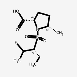 CC[C@H](C(C)F)S(=O)(=O)N1[C@@H](C)CC[C@H]1C(=O)O